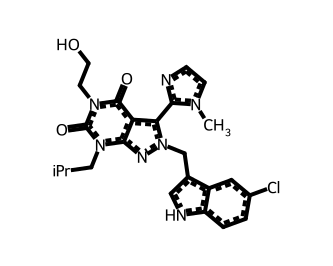 CC(C)Cn1c(=O)n(CCO)c(=O)c2c(-c3nccn3C)n(Cc3c[nH]c4ccc(Cl)cc34)nc21